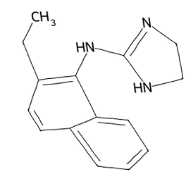 CCc1ccc2ccccc2c1NC1=NCCN1